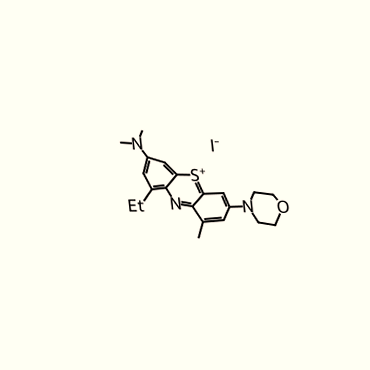 CCc1cc(N(C)C)cc2[s+]c3cc(N4CCOCC4)cc(C)c3nc12.[I-]